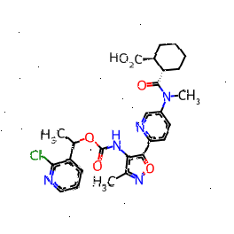 Cc1noc(-c2ccc(N(C)C(=O)[C@H]3CCCC[C@@H]3C(=O)O)cn2)c1NC(=O)OC(C)c1cccnc1Cl